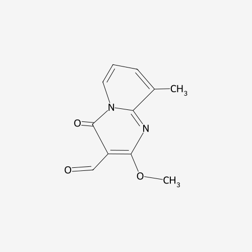 COc1nc2c(C)cccn2c(=O)c1C=O